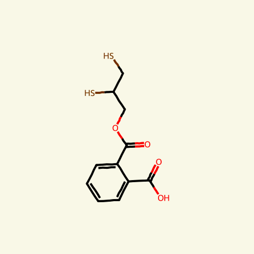 O=C(O)c1ccccc1C(=O)OCC(S)CS